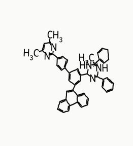 Cc1cc(C)nc(-c2ccc(-c3cc(-c4cc5ccccc5c5ccccc45)cc(C4N=C(c5ccccc5)N[C@@](C)(C5=CCCC=C5)N4)c3)cc2)n1